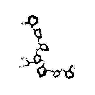 CCC(C)c1cc(Oc2ccccc2Oc2cccc(Oc3ccccc3N)c2)cc(Oc2ccccc2Oc2cccc(Oc3ccccc3N)c2)c1